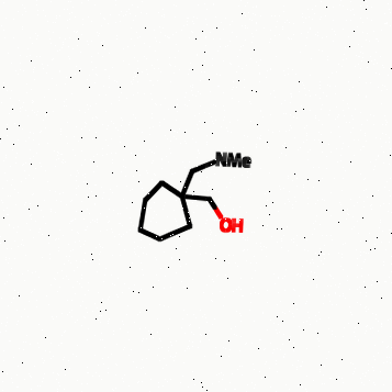 CNCC1(CO)CCCCC1